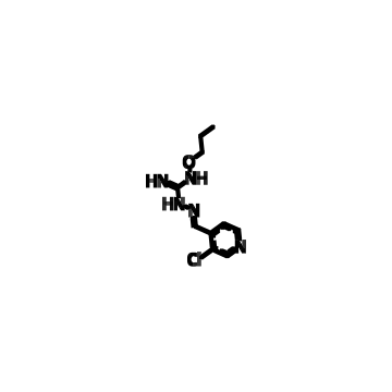 CCCONC(=N)NN=Cc1ccncc1Cl